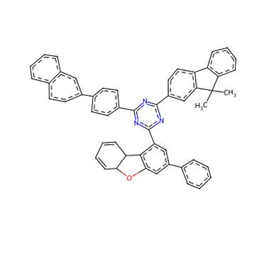 CC1(C)c2ccccc2-c2ccc(-c3nc(-c4ccc(-c5ccc6ccccc6c5)cc4)nc(-c4cc(-c5ccccc5)cc5c4C4C=CC=CC4O5)n3)cc21